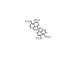 CC[Si](CC)(c1ccc(C(=O)O)c2c(C(=O)O)cccc12)c1ccc(C(=O)O)c2c(C(=O)O)cccc12